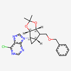 CC1(C)O[C@@H]2C(COCc3ccccc3)[C@@H]3C[C@@]3(n3cnc4c(Cl)ncnc43)[C@@H]2O1